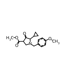 COC(=O)C1CN(Cc2ccc(OC)cc2)C(C2CC2)C1=O